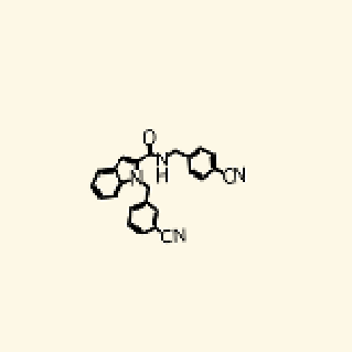 N#Cc1ccc(CNC(=O)c2cc3ccccc3n2Cc2cccc(C#N)c2)cc1